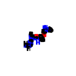 C[C@H]1CCCCN1c1nnc2ccc(O[C@@H]3CC[C@H](NC(=O)Nc4cc(C(C)(C)C)nn4-c4cnn(CCN5C[C@@H]6C[C@H]5CN6C)c4)c4ccccc43)cn12